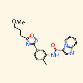 COCCCc1nc(-c2ccc(C)c(NC(=O)c3cnc4ccccn34)c2)no1